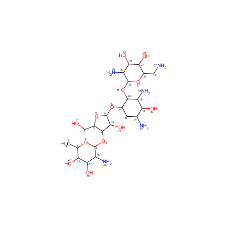 CC1OC(OC2C(CO)OC(OC3CC(N)C(O)C(N)C3OC3OC(CN)C(O)C(O)C3N)C2O)C(N)C(O)C1O